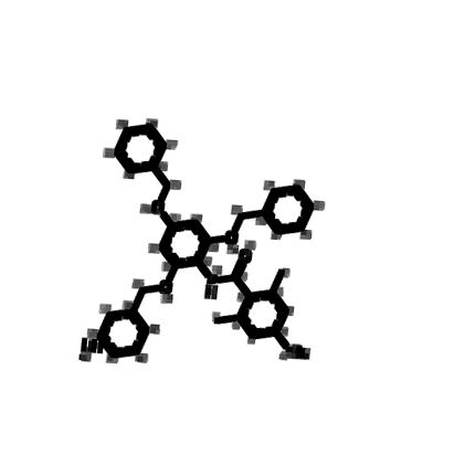 Cc1cc(C(C)(C)C)cc(C)c1C(=O)Pc1c(OCc2ccccc2)cc(OCc2ccccc2)cc1OCc1ccccc1.[LiH]